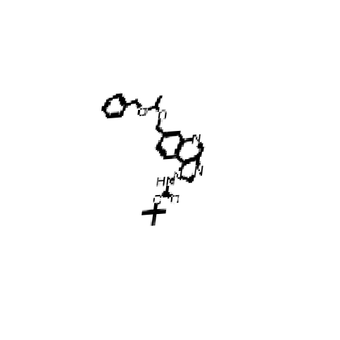 CC(OCc1ccccc1)OCc1ccc2c(c1)ncc1ncn(NC(=O)OC(C)(C)C)c12